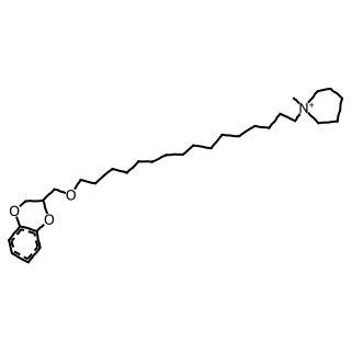 C[N+]1(CCCCCCCCCCCCCCCCOCC2COc3ccccc3O2)CCCCC1